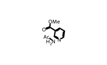 CC(N)=O.COC(=O)c1cccnc1